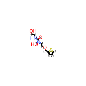 O=C(NCCO)N(O)CCOCc1cccs1